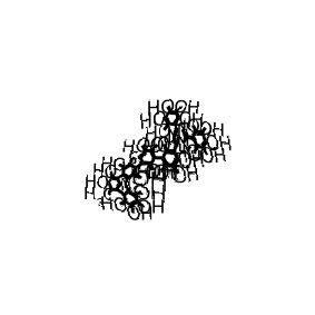 Cc1c(O)c(O)c2c3c(O)c4sc5c(O)c(O)c(-c6c(O)c(O)c(O)c(-c7nc(-c8c(O)c(O)c(O)c(O)c8O)nc(-c8c(O)c(O)c(O)c(O)c8O)n7)c6O)c(O)c5c4c(O)c3n3c4c(O)c(O)c(O)c(O)c4c1c23